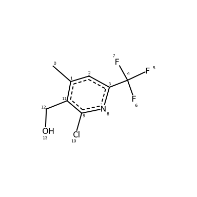 Cc1cc(C(F)(F)F)nc(Cl)c1CO